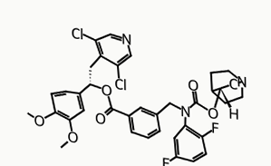 COc1ccc([C@H](Cc2c(Cl)cncc2Cl)OC(=O)c2cccc(CN(C(=O)O[C@H]3CN4CCC3CC4)c3cc(F)ccc3F)c2)cc1OC